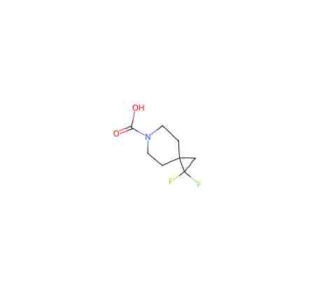 O=C(O)N1CCC2(CC1)CC2(F)F